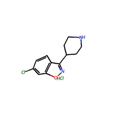 Cl.Clc1ccc2c(C3CCNCC3)noc2c1